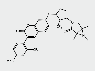 COc1ccc(-c2cc3ccc(OC4CCC(OC(=O)C5(C)N(C)C5(C)C)C4C(F)(F)F)cc3oc2=O)c(C(F)(F)F)c1